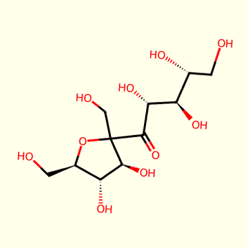 O=C([C@H](O)[C@H](O)[C@H](O)CO)C1(CO)O[C@H](CO)[C@@H](O)[C@@H]1O